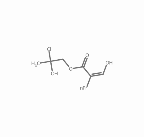 CCCC(=CO)C(=O)OCC(C)(O)Cl